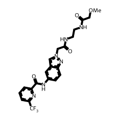 COCC(=O)NCCNC(=O)Cn1cc2cc(NC(=O)c3cccc(C(F)(F)F)n3)ccc2n1